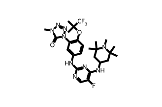 CN1C(C)(C)CC(Nc2nc(Nc3ccc(OC(C)(C)C(F)(F)F)c(-n4nnn(C)c4=O)c3)ncc2F)CC1(C)C